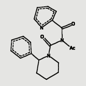 CC(=O)N(C(=O)c1ccccn1)C(=O)N1CCCCC1c1ccccc1